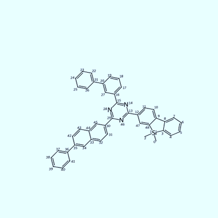 C[Si]1(C)c2ccccc2-c2ccc(-c3nc(-c4cccc(-c5ccccc5)c4)nc(-c4ccc5cc(-c6ccccc6)ccc5c4)n3)cc21